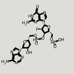 Nc1nc2c(ncn2[C@@H]2O[C@H](CO[PH](=O)O)[C@@H](O[PH](=O)OC[C@@H]3C[C@@H](O)[C@H](n4cnc5c(N)ncnc54)O3)[C@H]2F)c(=O)[nH]1